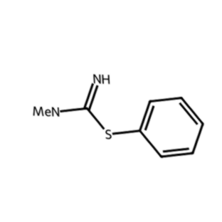 CNC(=N)Sc1ccccc1